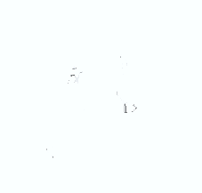 N#CC=CC(Br)=C(Br)c1ccccc1